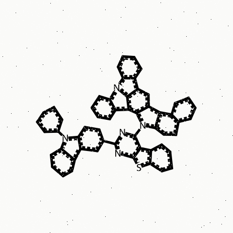 c1ccc(-n2c3ccccc3c3cc(-c4nc(-n5c6ccc7ccccc7c6c6cc7c8ccccc8n8c9ccccc9c(c65)c78)c5c(n4)sc4ccccc45)ccc32)cc1